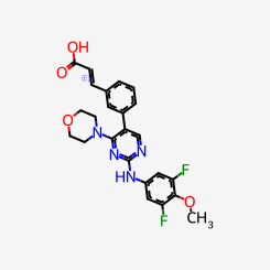 COc1c(F)cc(Nc2ncc(-c3cccc(/C=C/C(=O)O)c3)c(N3CCOCC3)n2)cc1F